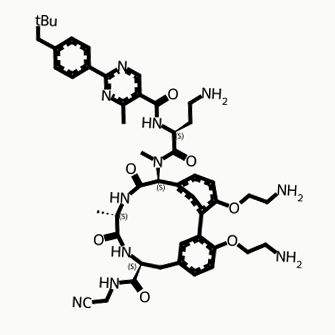 Cc1nc(-c2ccc(CC(C)(C)C)cc2)ncc1C(=O)N[C@@H](CCN)C(=O)N(C)[C@@H]1C(=O)N[C@@H](C)C(=O)N[C@H](C(=O)NCC#N)Cc2ccc(OCCN)c(c2)-c2cc1ccc2OCCN